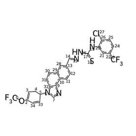 FC(F)(F)OC1=CCC(n2cnc3c4ccc(/C=N/NC(=S)Nc5cc(C(F)(F)F)ccc5Cl)cc4ccc32)C=C1